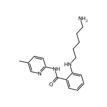 Cc1ccc(NC(=O)c2ccccc2NCCCCCN)nc1